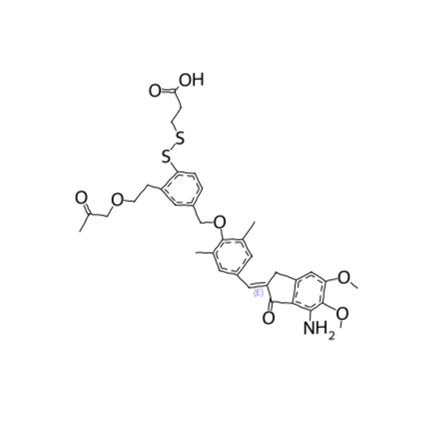 COc1cc2c(c(N)c1OC)C(=O)/C(=C/c1cc(C)c(OCc3ccc(SSCCC(=O)O)c(CCOCC(C)=O)c3)c(C)c1)C2